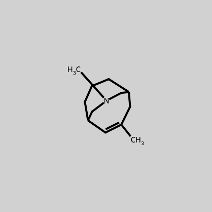 C/C1=C/C2CCCC(C1)CN(C)C2